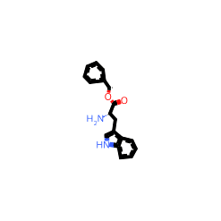 N[C@@H](Cc1c[nH]c2ccccc12)C(=O)O[CH]c1ccccc1